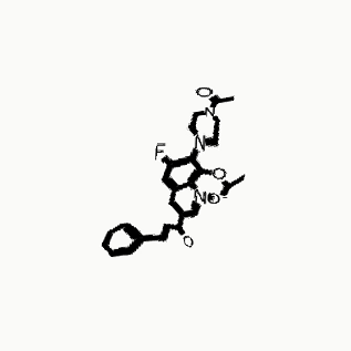 CC(=O)N1CCN(c2c(F)cc3cc(C(=O)C=Cc4ccccc4)c[n+]([O-])c3c2OC(C)C)CC1